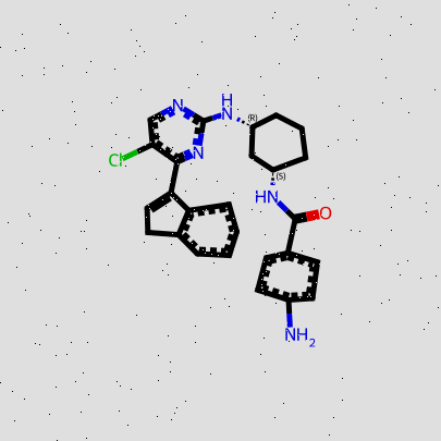 Nc1ccc(C(=O)N[C@H]2CCC[C@@H](Nc3ncc(Cl)c(C4=CCc5ccccc54)n3)C2)cc1